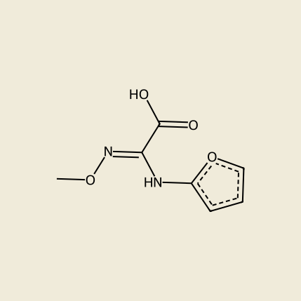 CO/N=C(\Nc1ccco1)C(=O)O